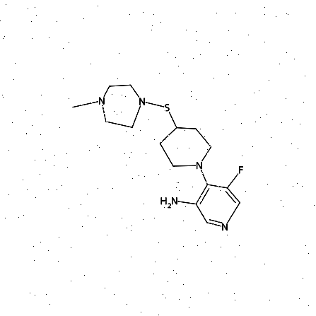 CN1CCN(SC2CCN(c3c(N)cncc3F)CC2)CC1